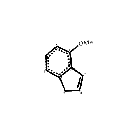 COc1cccc2c1C=CC2